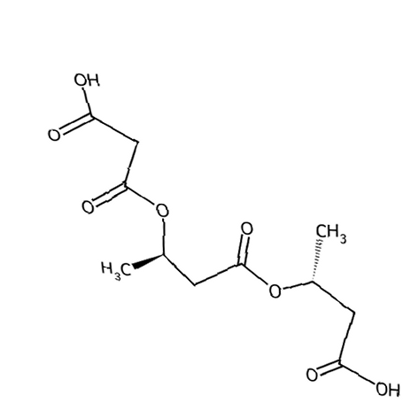 C[C@H](CC(=O)O)OC(=O)C[C@@H](C)OC(=O)CC(=O)O